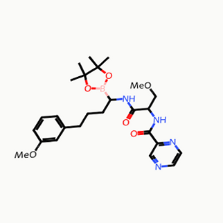 COCC(NC(=O)c1cnccn1)C(=O)NC(CCCc1cccc(OC)c1)B1OC(C)(C)C(C)(C)O1